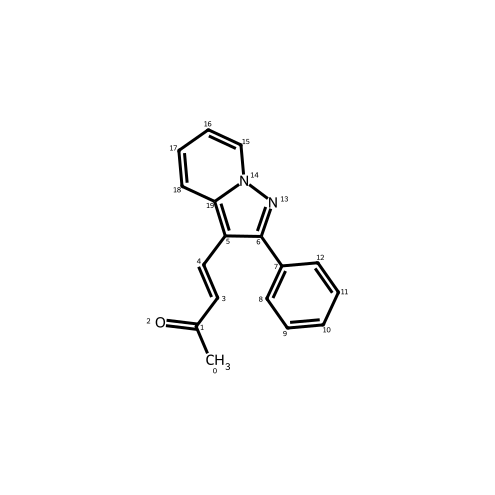 CC(=O)/C=C/c1c(-c2ccccc2)nn2ccccc12